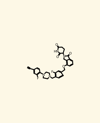 C#Cc1ccc(N2CCN(Cc3ccc(COc4cccc5c4CN(C4CCC(=O)NC4=O)C5=O)cc3F)CC2)c(F)c1